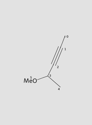 [CH2]C#CC(C)OC